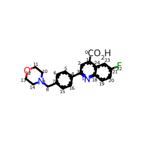 O=C(O)c1cc(-c2ccc(CN3CCOCC3)cc2)nc2ccc(F)cc12